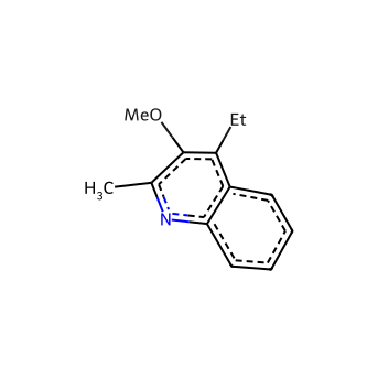 CCc1c(OC)c(C)nc2ccccc12